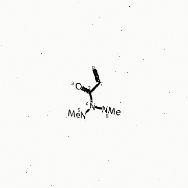 C=CC(=O)N(NC)NC